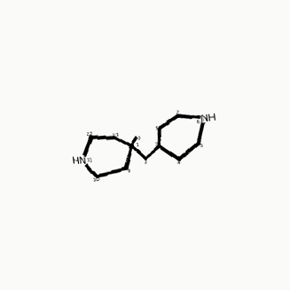 CC1(CC2CCNCC2)CCNCC1